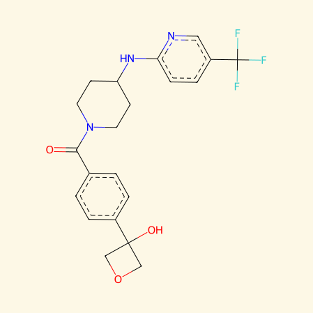 O=C(c1ccc(C2(O)COC2)cc1)N1CCC(Nc2ccc(C(F)(F)F)cn2)CC1